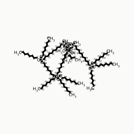 CCCCCCCCO[Si](CCCCCCCCCC[Si](C)(C)O[Si](CCNC(=O)C(C)CC)(O[Si](C)(C)CCCCCCCCCC[Si](OCCCCCCCC)(OCCCCCCCC)OCCCCCCCC)O[Si](C)(C)CCCCCCCCCC[Si](OCCCCCCCC)(OCCCCCCCC)OCCCCCCCC)(OCCCCCCCC)OCCCCCCCC